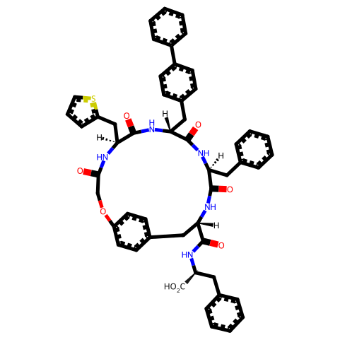 O=C1COc2ccc(cc2)C[C@@H](C(=O)N[C@@H](Cc2ccccc2)C(=O)O)NC(=O)[C@H](Cc2ccccc2)NC(=O)[C@@H](Cc2ccc(-c3ccccc3)cc2)NC(=O)[C@H](Cc2cccs2)N1